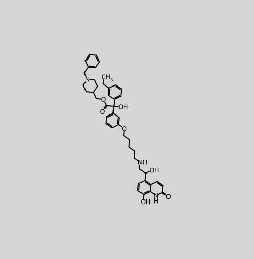 CCc1cccc(C(O)(C(=O)OCC2CCN(Cc3ccccc3)CC2)c2cccc(OCCCCCNCC(O)c3ccc(O)c4[nH]c(=O)ccc34)c2)c1